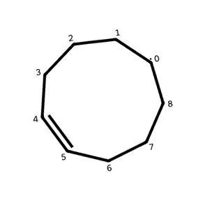 [CH]1CCC/C=C\CCC1